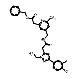 CCn1nc(-c2ccc(Cl)c(F)c2)nc1CC(=O)NCc1cc(C)nc(CC(=O)OCc2ccccc2)c1